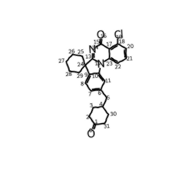 O=C1CCC(Cc2ccc3c(c2)-n2c(nc(=O)c4c(Cl)cccc42)C32CCCCC2)CC1